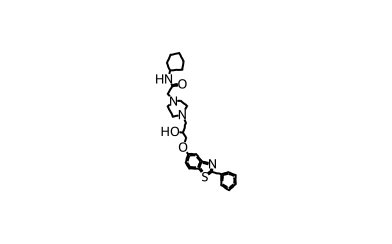 O=C(CN1CCN(CC(O)COc2ccc3sc(-c4ccccc4)nc3c2)CC1)NC1CCCCC1